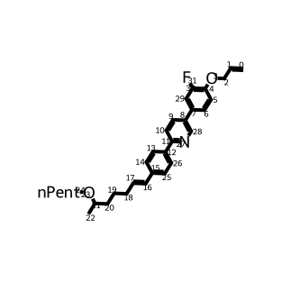 C=CCOc1ccc(-c2ccc(-c3ccc(C=CCCCC(C)OCCCCC)cc3)nc2)cc1F